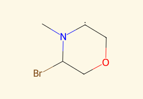 CN1[CH]COCC1Br